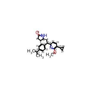 COc1nc(C(C[C@H]2CCC(=O)N2)c2ccc(C(C)C)cc2)ccc1C1CC1